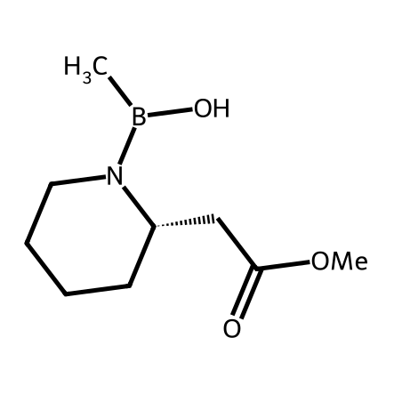 COC(=O)C[C@@H]1CCCCN1B(C)O